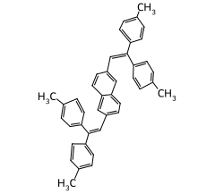 Cc1ccc(C(=Cc2ccc3cc(C=C(c4ccc(C)cc4)c4ccc(C)cc4)ccc3c2)c2ccc(C)cc2)cc1